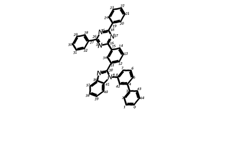 c1ccc(-c2cccc(-n3c(-c4cccc(-c5nc(-c6ccccc6)nc(-c6ccccc6)n5)c4)nc4ccccc43)c2)cc1